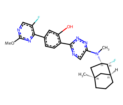 COc1ncc(F)c(-c2ccc(-c3ncc(N(C)[C@H]4C[C@]5(C)CCC[C@@H](C5)[C@H]4F)nn3)c(O)c2)n1